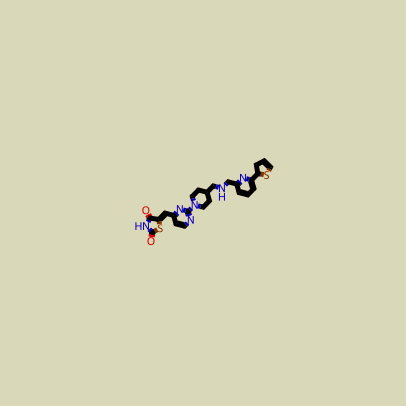 O=C1NC(=O)/C(=C/c2ccnc(N3CCC(CNCc4cccc(C5CC=CS5)n4)CC3)n2)S1